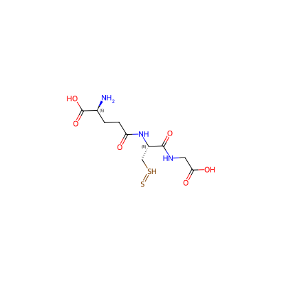 N[C@@H](CCC(=O)N[C@@H](C[SH]=S)C(=O)NCC(=O)O)C(=O)O